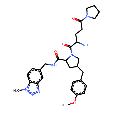 COc1ccc(CC2CC(C(=O)NCc3ccc4c(c3)nnn4C)N(C(=O)C(N)CCC(=O)N3CCCC3)C2)cc1